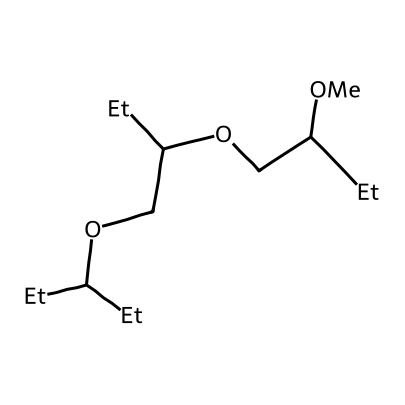 CCC(COC(CC)COC(CC)CC)OC